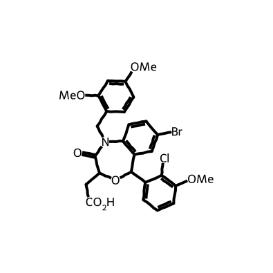 COc1ccc(CN2C(=O)C(CC(=O)O)OC(c3cccc(OC)c3Cl)c3cc(Br)ccc32)c(OC)c1